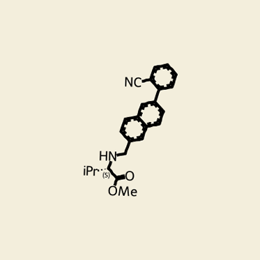 COC(=O)[C@@H](NCc1ccc2cc(-c3ccccc3C#N)ccc2c1)C(C)C